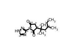 CCC(C)CC(C)(C)C1CC(=O)N(c2nc[nH]n2)C1=O